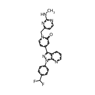 CNc1nccc(Cn2ccc(-c3nn(-c4ccc(C(F)F)cc4)c4ncccc34)cc2=O)n1